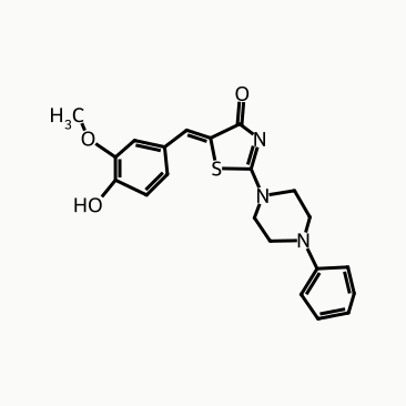 COc1cc(/C=C2\SC(N3CCN(c4ccccc4)CC3)=NC2=O)ccc1O